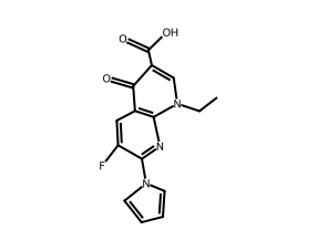 CCn1cc(C(=O)O)c(=O)c2cc(F)c(-n3cccc3)nc21